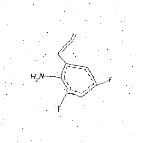 C=Cc1cc(F)cc(F)c1N